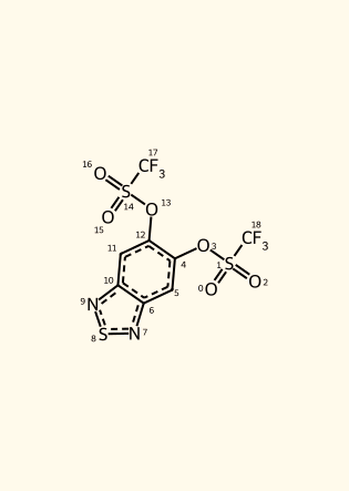 O=S(=O)(Oc1cc2nsnc2cc1OS(=O)(=O)C(F)(F)F)C(F)(F)F